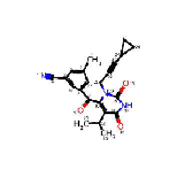 Cc1cc(C#N)cc(C(=O)c2c(C(C)C)c(=O)[nH]c(=O)n2CC#CC2CC2)c1